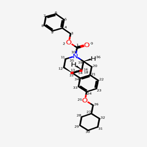 O=C(OCc1ccccc1)N1CC[C@]23CCCC[C@H]2[C@H]1Cc1ccc(OCC2CCCCC2)cc13